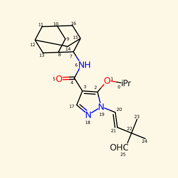 CC(C)Oc1c(C(=O)NC2C3CC4CC(C3)CC2C4)cnn1/C=C/C(C)(C)C=O